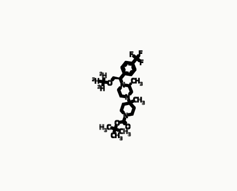 [2H]C([2H])([2H])OC[C@@H](c1ccc(C(F)(F)F)cc1)N1CCN(C2(C)CCN(C(=O)OC(C)(C)C)CC2)C[C@@H]1C